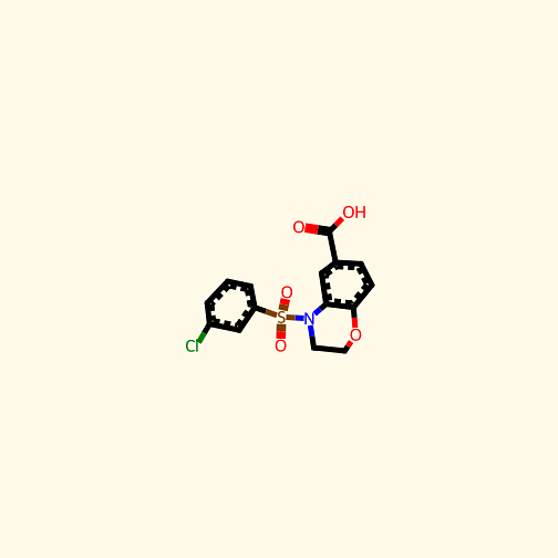 O=C(O)c1ccc2c(c1)N(S(=O)(=O)c1cccc(Cl)c1)CCO2